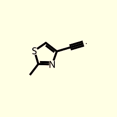 [C]#Cc1csc(C)n1